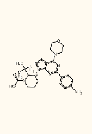 CC(C)(C)C1[C@H](n2ncc3c(N4CCOCC4)nc(-c4ccc(N)cc4)nc32)CCCN1C(=O)O